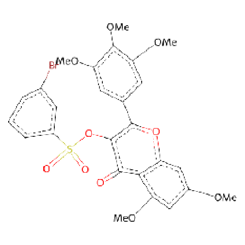 COc1cc(OC)c2c(=O)c(OS(=O)(=O)c3cccc(Br)c3)c(-c3cc(OC)c(OC)c(OC)c3)oc2c1